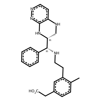 Cc1ccc(CC(=O)O)cc1CCN[C@H](c1ccccc1)[C@H]1CNc2ccnnc2N1